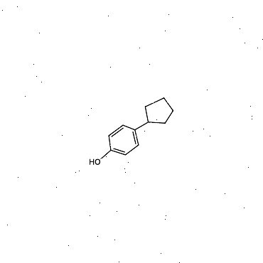 Oc1ccc(C2CCCC2)cc1